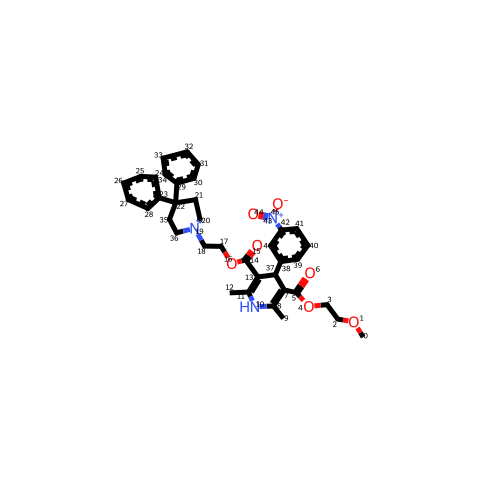 COCCOC(=O)C1=C(C)NC(C)=C(C(=O)OCCN2CCC(c3ccccc3)(c3ccccc3)CC2)C1c1cccc([N+](=O)[O-])c1